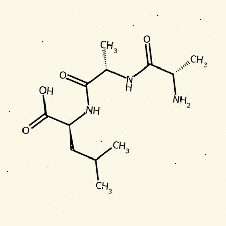 CC(C)C[C@H](NC(=O)[C@H](C)NC(=O)[C@H](C)N)C(=O)O